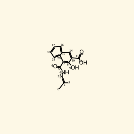 CC(C)=NNC(=O)c1c(O)c(C(=O)O)cc2ccccc12